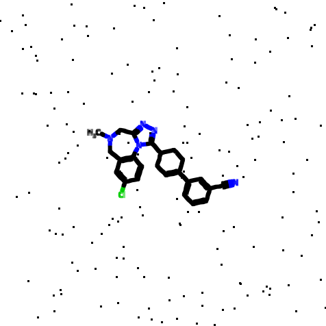 CN1Cc2cc(Cl)ccc2-n2c(nnc2C2CC=C(c3cccc(C#N)c3)CC2)C1